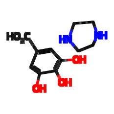 C1CNCCN1.O=C(O)c1cc(O)c(O)c(O)c1